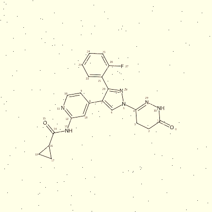 O=C1CCC(n2cc(-c3ccnc(NC(=O)C4CC4)c3)c(-c3ccccc3F)n2)=NN1